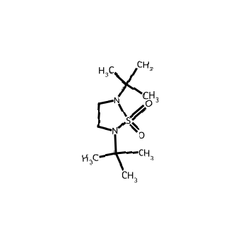 CC(C)(C)N1CCN(C(C)(C)C)S1(=O)=O